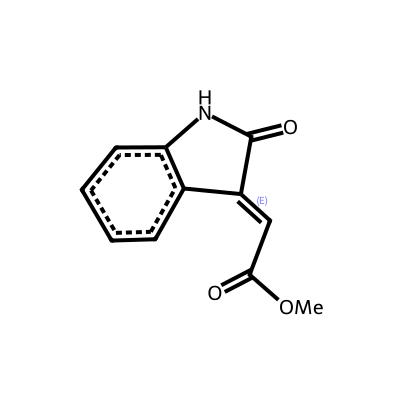 COC(=O)/C=C1/C(=O)Nc2ccccc21